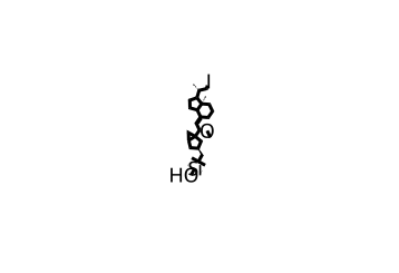 COC(/C=C1\CCC[C@@]2(C)C1CCC2[C@H](C)CI)C12CC1C[C@H](CC(C)(C)[Si](C)(C)O)C2